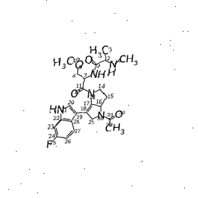 CNC(C)C(=O)NC(COC)C(=O)N1CCC2C1=C(c1c[nH]c3cc(F)ccc13)CN2C(C)=O